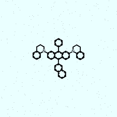 c1ccc(-c2c3cc(N4CCCc5ccccc54)ccc3c(-c3ccc4ccccc4c3)c3ccc(N4CCCc5ccccc54)cc23)cc1